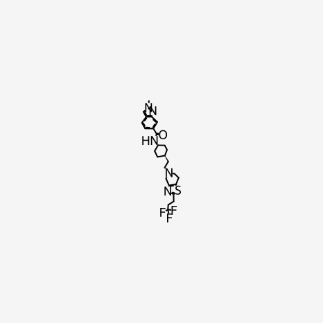 Cn1cc2ccc(C(=O)N[C@H]3CC[C@H](CCN4CCc5sc(CCC(F)(F)F)nc5C4)CC3)cc2n1